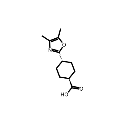 Cc1nc([C@H]2CC[C@H](C(=O)O)CC2)oc1C